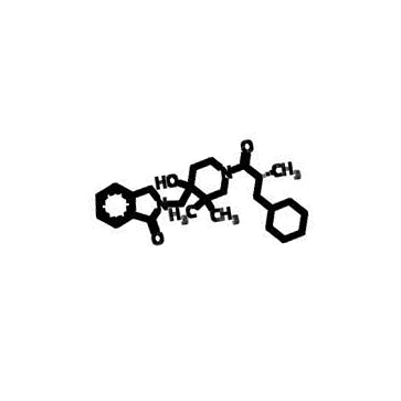 C[C@H](CC1CCCCC1)C(=O)N1CCC(O)(CN2Cc3ccccc3C2=O)C(C)(C)C1